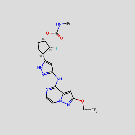 CC(C)NC(=O)O[C@H]1CC[C@@H](c2cc(Nc3nccn4nc(OCC(F)(F)F)cc34)n[nH]2)[C@H]1F